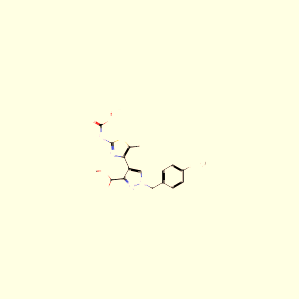 CCOC(=O)c1sc(NC(=O)OC(C)(C)C)nc1-c1cn(Cc2ccc(OC)cc2)nc1C(O)OCC